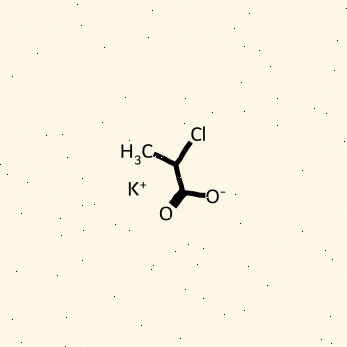 CC(Cl)C(=O)[O-].[K+]